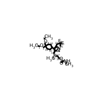 CCOCC1(COCC)CCC(c2c(CN(C)CCOC(=O)NC)nn3c2CC(F)(F)C3)CC1